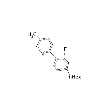 CCCCCCc1ccc(-c2ccc(C)cn2)c(F)c1